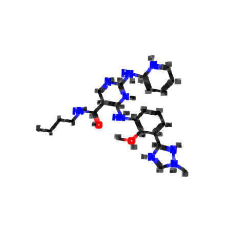 CCCCNC(=O)c1cnc(Nc2ccccn2)nc1Nc1cccc(-c2ncn(C)n2)c1OC